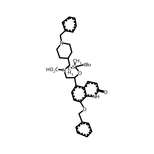 CC(C)(C)[Si](C)(C)OC(CN(CC1CCN(Cc2ccccc2)CC1)C(=O)O)c1ccc(OCc2ccccc2)c2[nH]c(=O)ccc12